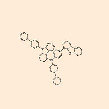 C1=c2c(c3ccccc3n2-c2ccc(-c3ccccc3)cc2)=C(N(c2ccc(-c3ccccc3)cc2)c2ccc(-c3cccc4c3oc3ccccc34)cc2)CC1